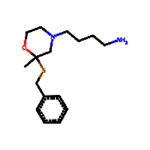 CC1(SCc2ccccc2)CN(CCCCN)CCO1